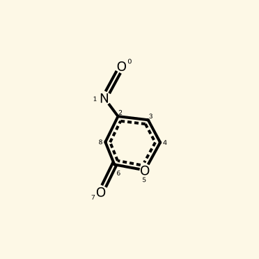 O=Nc1ccoc(=O)c1